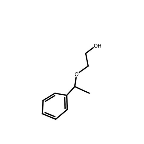 CC(OCCO)c1ccccc1